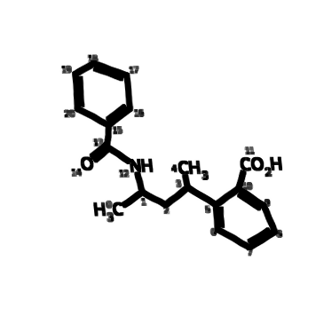 CC(CC(C)c1ccccc1C(=O)O)NC(=O)c1ccccc1